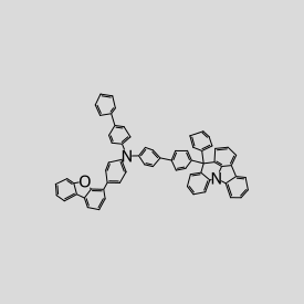 c1ccc(-c2ccc(N(c3ccc(-c4ccc(C5(c6ccccc6)c6ccccc6-n6c7ccccc7c7cccc5c76)cc4)cc3)c3ccc(-c4cccc5c4oc4ccccc45)cc3)cc2)cc1